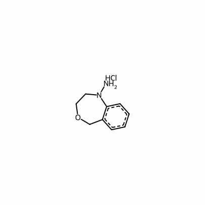 Cl.NN1CCOCc2ccccc21